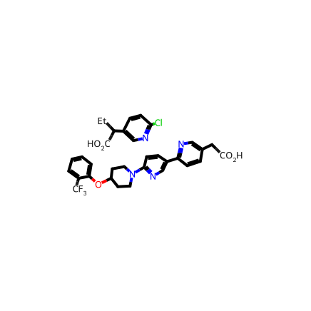 CCC(C(=O)O)c1ccc(Cl)nc1.O=C(O)Cc1ccc(-c2ccc(N3CCC(Oc4ccccc4C(F)(F)F)CC3)nc2)nc1